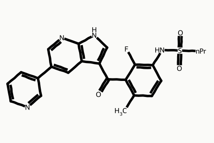 CCCS(=O)(=O)Nc1ccc(C)c(C(=O)c2c[nH]c3ncc(-c4cccnc4)cc23)c1F